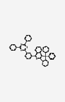 c1ccc(-c2nc(-c3ccccc3)nc(-c3cccc(-c4nc5c(c6ccccc46)C(c4ccccc4)(c4ccccc4)c4ccccc4-5)c3)n2)cc1